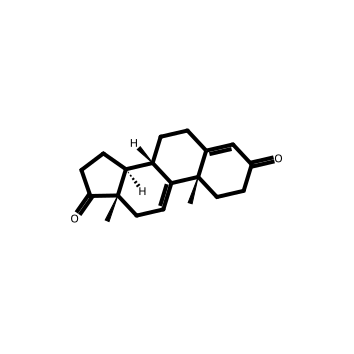 C[C@]12CCC(=O)C=C1CC[C@@H]1C2=CC[C@]2(C)C(=O)CC[C@@H]12